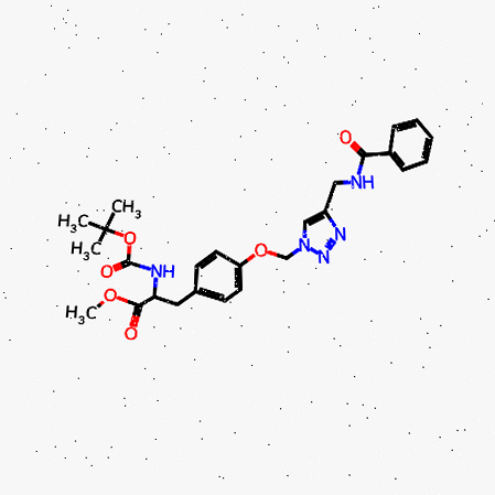 COC(=O)C(Cc1ccc(OCn2cc(CNC(=O)c3ccccc3)nn2)cc1)NC(=O)OC(C)(C)C